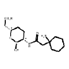 NC1(CC(=O)N[C@H]2CC[C@@H](CC(=O)O)OB2O)CCCCC1